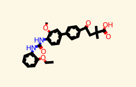 CCOc1ccccc1NC(=O)Nc1ccc(-c2ccc(C(=O)CC(C)(C)C(=O)O)cc2)cc1OC